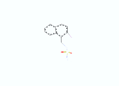 NS(=O)(=O)NCc1c(I)ccc2ccccc12